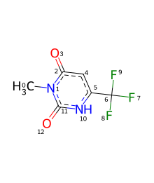 Cn1c(=O)cc(C(F)(F)F)[nH]c1=O